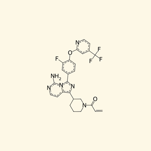 C=CC(=O)N1CCCC(c2nc(-c3ccc(Oc4cc(C(F)(F)F)ccn4)c(F)c3)n3c(N)nccc23)C1